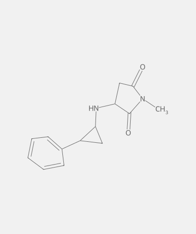 CN1C(=O)CC(NC2CC2c2ccccc2)C1=O